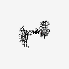 CC(N)C(=O)NC(C)C(=O)NC(Cc1ccccc1)C(=O)Nc1ccc(COC(=O)Nc2ccc3c(c2)Oc2c(cc4c5c2CCCN5CCCC4)C32OC(=O)c3c(F)c(F)c(F)c(F)c32)cc1